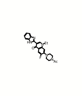 CCn1cc(-c2nc3ccccc3[nH]2)c(=O)c2cc(F)c(N3CCN(C(C)=O)CC3)cc21